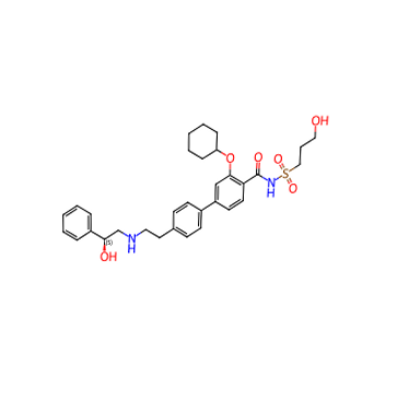 O=C(NS(=O)(=O)CCCO)c1ccc(-c2ccc(CCNC[C@@H](O)c3ccccc3)cc2)cc1OC1CCCCC1